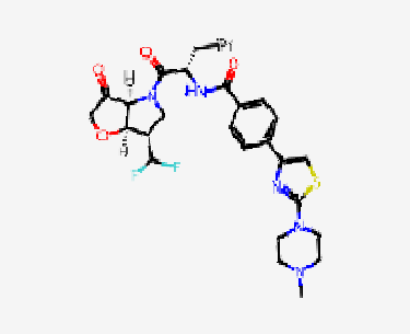 CC(C)C[C@H](NC(=O)c1ccc(-c2csc(N3CCN(C)CC3)n2)cc1)C(=O)N1C[C@@H](C(F)F)[C@H]2OCC(=O)[C@H]21